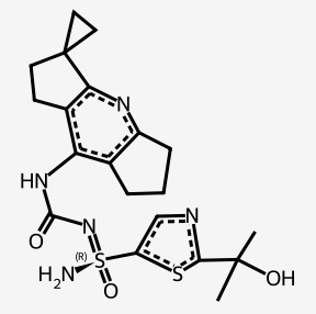 CC(C)(O)c1ncc([S@](N)(=O)=NC(=O)Nc2c3c(nc4c2CCC42CC2)CCC3)s1